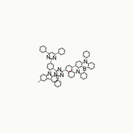 Cc1ccc2c(c1)c1ccccc1n2-c1ccc(-c2nc(-c3ccccc3)cc(-c3ccccc3)n2)cc1-c1nc(-c2ccccc2)nc(-c2ccc(-c3ccc4c5c3N(c3ccccc3)c3ccccc3B5c3ccccc3N4c3ccccc3)cc2)n1